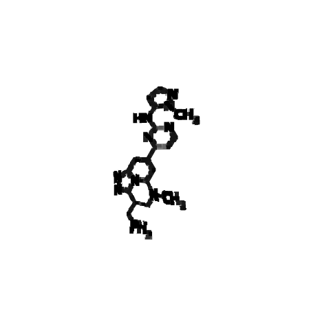 CN1CC(CP)c2nnc3cc(-c4ccnc(Nc5ccnn5C)n4)cc1n23